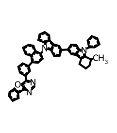 CC1CCCc2c1n(-c1ccccc1)c1ccc(-c3ccc4c(c3)c3ccccc3n4-c3ccc(-c4cccc(-c5ncnc6c5oc5ccccc56)c4)c4ccccc34)cc21